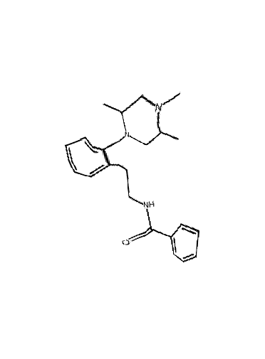 CC1CN(c2ccccc2CCNC(=O)c2ccccc2)C(C)CN1C